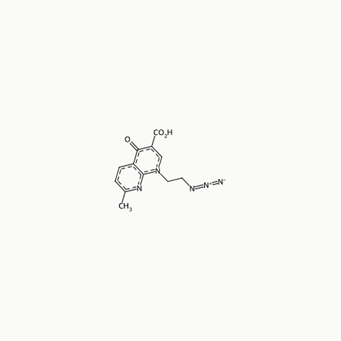 Cc1ccc2c(=O)c(C(=O)O)cn(CCN=[N+]=[N-])c2n1